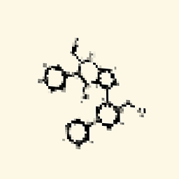 O=CC1Nc2scc(-c3cc(-c4ccccc4)ccc3CO)c2C(O)=C1c1ccccc1